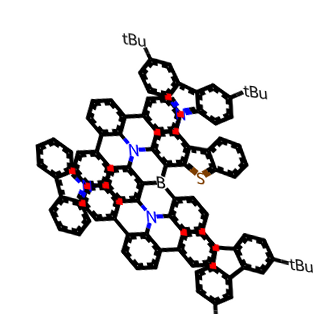 CC(C)(C)c1ccc2c(c1)-c1cc(C(C)(C)C)ccc1C2c1ccc2c(c1)N(c1c(-c3ccccc3)cccc1-c1ccccc1)c1cc(-n3c4ccccc4c4ccccc43)cc3c1B2c1c(cc(-n2c4ccc(C(C)(C)C)cc4c4cc(C(C)(C)C)ccc42)c2c1sc1ccccc12)N3c1c(-c2ccccc2)cccc1-c1ccccc1